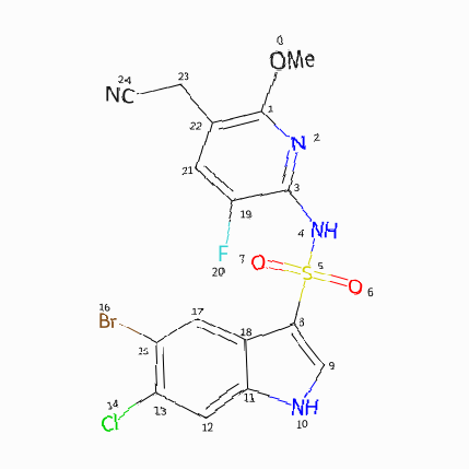 COc1nc(NS(=O)(=O)c2c[nH]c3cc(Cl)c(Br)cc23)c(F)cc1CC#N